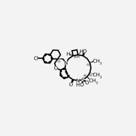 C[C@@H]1CC(=O)[C@@H]2CC[C@H]2CN2C[C@@]3(CCCc4cc(Cl)ccc43)COc3ccc(cc32)C(=O)NS(=O)(=O)[C@H](C)[C@@H](C)C1